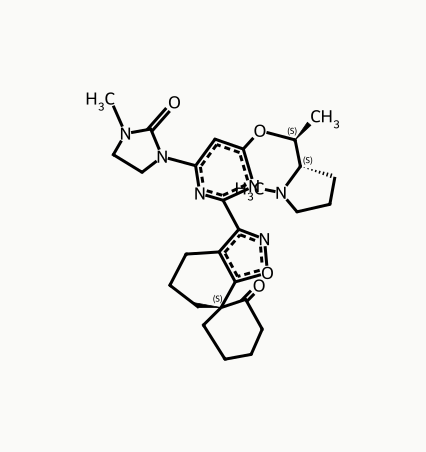 C[C@H](Oc1cc(N2CCN(C)C2=O)nc(-c2noc3c2CCC[C@@]32CCCCC2=O)n1)[C@@H]1CCCN1C